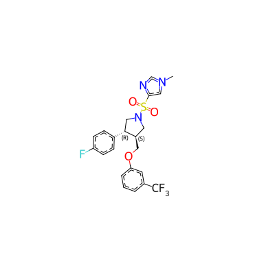 Cn1cnc(S(=O)(=O)N2C[C@@H](COc3cccc(C(F)(F)F)c3)[C@H](c3ccc(F)cc3)C2)c1